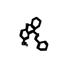 Cc1ccc2nc3c(c(N=Cc4ccccc4)c2c1)CCCC3